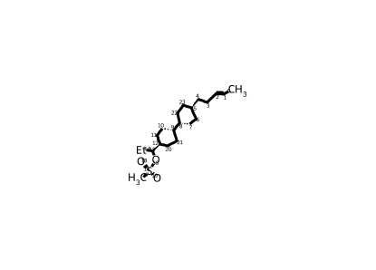 CC=CCC[C@H]1CC[C@H]([C@H]2CC[C@H](C(CC)OS(C)(=O)=O)CC2)CC1